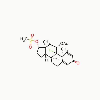 CC(=O)O[C@H]1C[C@]2(C)[C@@H](OS(C)(=O)=O)CC[C@H]2[C@@H]2CCC3=CC(=O)C=C[C@]3(C)C12F